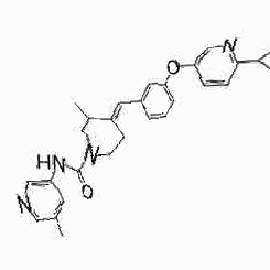 Cc1cncc(NC(=O)N2CCC(=Cc3cccc(Oc4ccc(C5CC5)nc4)c3)C(C)C2)c1